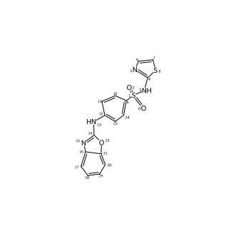 O=S(=O)(Nc1nccs1)c1ccc(Nc2nc3ccccc3o2)cc1